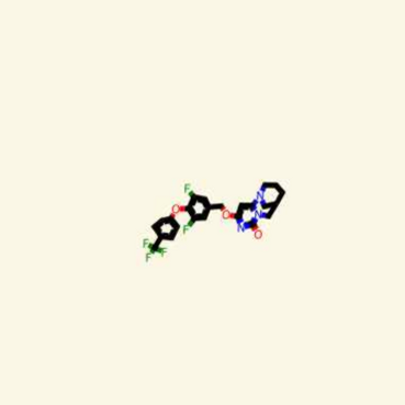 O=c1nc(OCc2cc(F)c(Oc3ccc(C(F)(F)F)cc3)c(F)c2)cc2n1CC1CCCN2C1